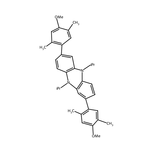 COc1cc(C)c(-c2ccc3c(c2)N(C(C)C)c2ccc(-c4cc(C)c(OC)cc4C)cc2N3C(C)C)cc1C